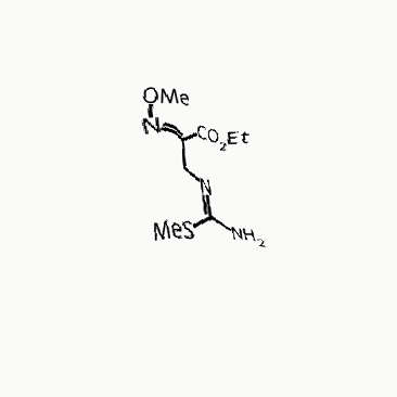 CCOC(=O)/C(C/N=C(/N)SC)=N\OC